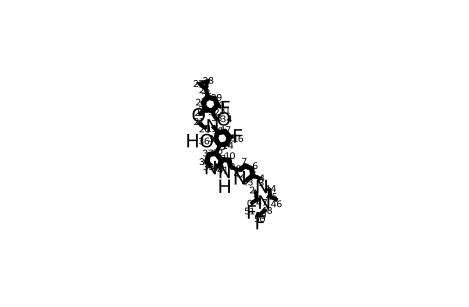 CC1CN(Cc2ccc(-c3cc4c(-c5cc(F)cc(N6CCOc7cc(C8CC8)cc(F)c7C6=O)c5O)ccnc4[nH]3)nc2)CC(C)N1CC(F)F